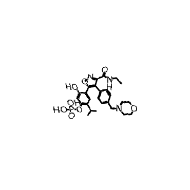 CCNC(=O)c1noc(-c2cc(C(C)C)c(OP(=O)(O)O)cc2O)c1-c1ccc(CN2CCOCC2)cc1